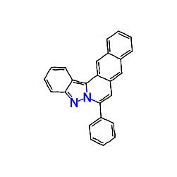 c1ccc(-c2cc3cc4ccccc4cc3c3c4ccccc4nn23)cc1